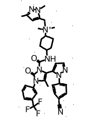 Cc1cc(C[N+](C)(C)C2CCC(NC(=O)n3c(-c4ccnn4-c4ccc(C#N)cc4)c(C)n(-c4cccc(C(F)(F)F)c4)c3=O)CC2)n(C)n1